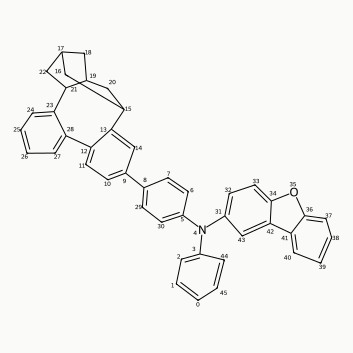 c1ccc(N(c2ccc(-c3ccc4c(c3)C3CC5CC(C3)C(C5)c3ccccc3-4)cc2)c2ccc3oc4ccccc4c3c2)cc1